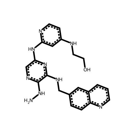 NNc1ncc(Nc2cc(NCCO)ccn2)nc1NCc1ccc2ncccc2c1